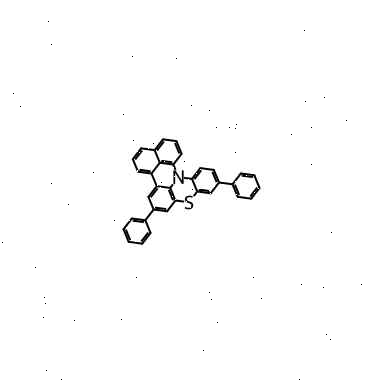 c1ccc(-c2ccc3c(c2)sc2cc(-c4ccccc4)cc4c2-n3c2cccc3cccc4c32)cc1